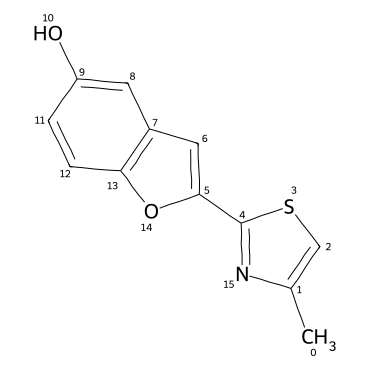 Cc1csc(-c2cc3cc(O)ccc3o2)n1